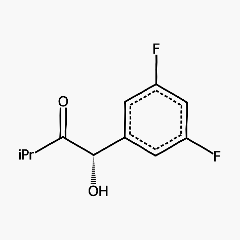 CC(C)C(=O)[C@@H](O)c1cc(F)cc(F)c1